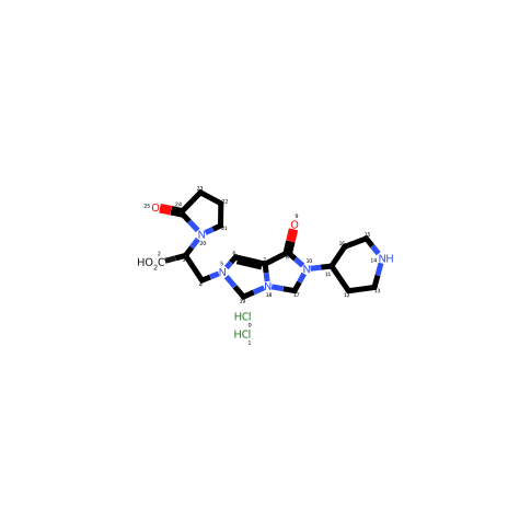 Cl.Cl.O=C(O)C(CN1C=C2C(=O)N(C3CCNCC3)CN2C1)N1CCCC1=O